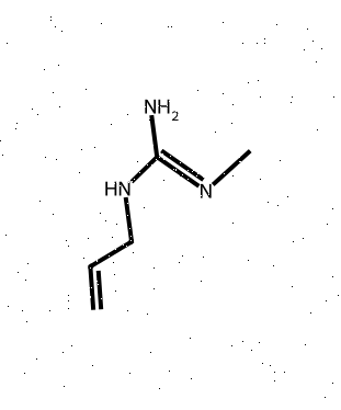 C=CCNC(N)=NC